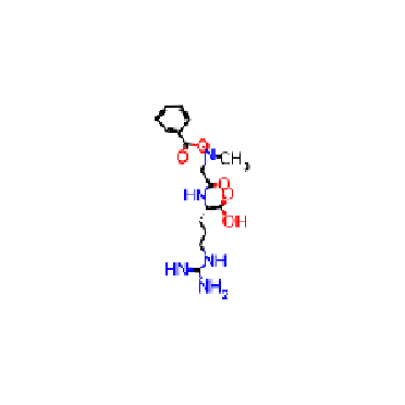 CN(CC(=O)N[C@@H](CCCNC(=N)N)C(=O)O)OC(=O)c1ccccc1